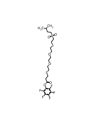 CC(C)CCS(=O)(=O)CCSCCOCCOCCSCCC(=O)Oc1c(F)c(F)c(F)c(F)c1F